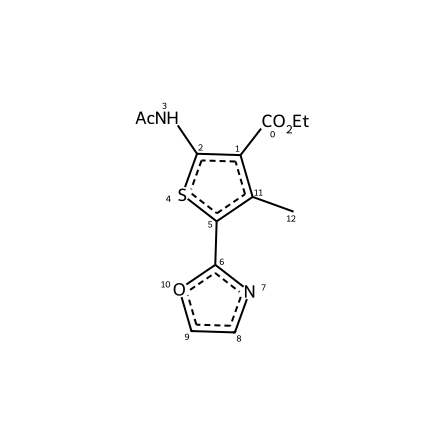 CCOC(=O)c1c(NC(C)=O)sc(-c2ncco2)c1C